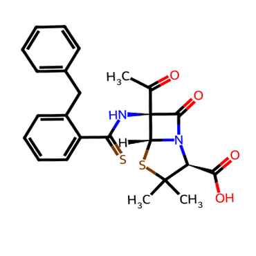 CC(=O)[C@]1(NC(=S)c2ccccc2Cc2ccccc2)C(=O)N2[C@@H](C(=O)O)C(C)(C)S[C@@H]21